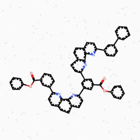 O=C(Oc1ccccc1)c1cccc(-c2ccc3ccc4ccc(-c5cc(C(=O)Oc6ccccc6)cc(-c6ccc7ccc8ccc(-c9cccc(-c%10ccccc%10)c9)nc8c7n6)c5)nc4c3n2)c1